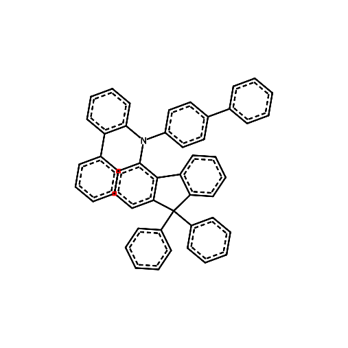 c1ccc(-c2ccc(N(c3ccccc3-c3ccccc3)c3cccc4c3-c3ccccc3C4(c3ccccc3)c3ccccc3)cc2)cc1